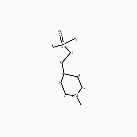 CN1CCC(CCP(C)(C)=O)CC1